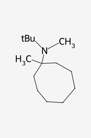 CN(C(C)(C)C)C1(C)CCCCCCC1